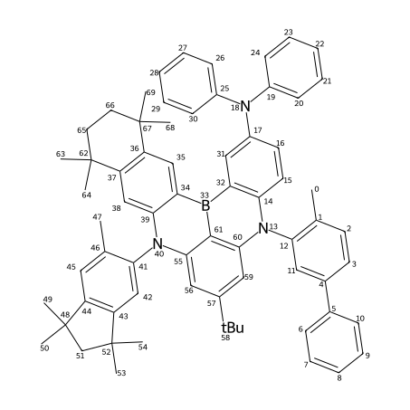 Cc1ccc(-c2ccccc2)cc1N1c2ccc(N(c3ccccc3)c3ccccc3)cc2B2c3cc4c(cc3N(c3cc5c(cc3C)C(C)(C)CC5(C)C)c3cc(C(C)(C)C)cc1c32)C(C)(C)CCC4(C)C